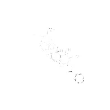 COCC(C)[C@H]1CC[C@H]2[C@@H]3C=C[C@@]4(O)C[C@@H](OC(=O)c5ccccc5)C(OC)[C@H](O)[C@]4(C)[C@H]3CC[C@]12C